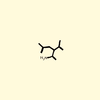 CC(C)CC(C(C)C)C(C)N